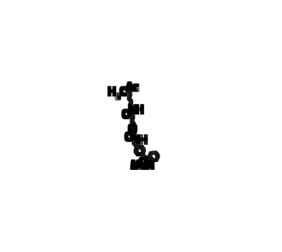 CNC1=C(C(=O)c2ccc(CNC(=O)COCCCC(=O)NCCCCC(C)C(C)=O)cc2)CCCC1